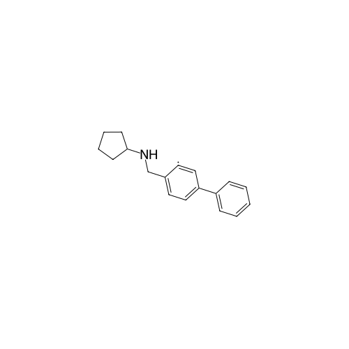 [c]1cc(-c2ccccc2)ccc1CNC1CCCC1